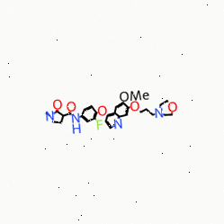 COc1cc2c(Oc3ccc(NC(=O)C4CCN(C)C4=O)cc3F)ccnc2cc1OCCCN1CCOCC1